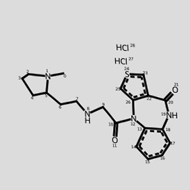 CN1CCCC1CCNCC(=O)N1c2ccccc2NC(=O)c2cscc21.Cl.Cl